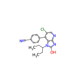 CCC(CC)n1c(O)nc2ncc(Cl)c(-c3ccc(C#N)cc3)c21